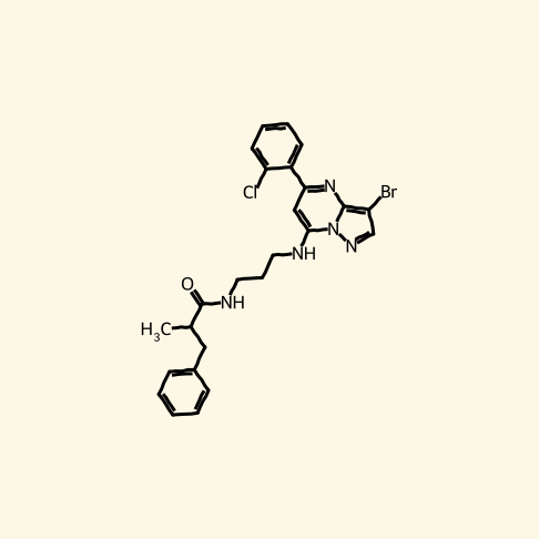 CC(Cc1ccccc1)C(=O)NCCCNc1cc(-c2ccccc2Cl)nc2c(Br)cnn12